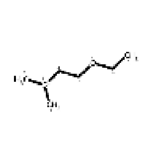 CCOCC[S+](C)C